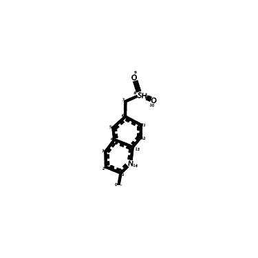 [CH2]c1ccc2cc(C[SH](=O)=O)ccc2n1